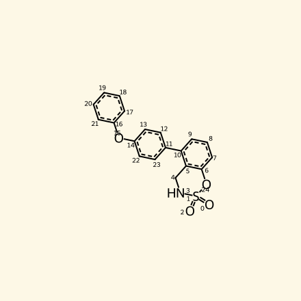 O=S1(=O)NCc2c(cccc2-c2ccc(Oc3ccccc3)cc2)O1